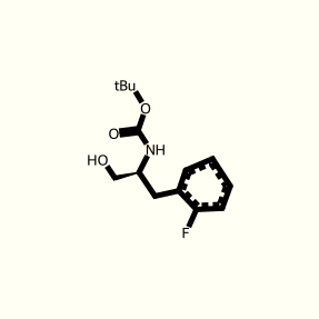 CC(C)(C)OC(=O)N[C@H](CO)Cc1ccccc1F